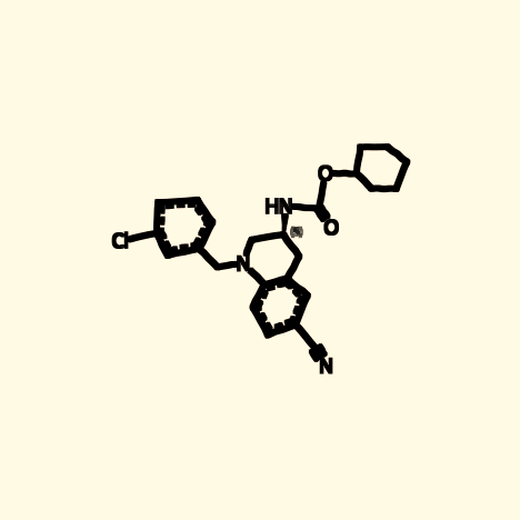 N#Cc1ccc2c(c1)C[C@H](NC(=O)OC1CCCCC1)CN2Cc1cccc(Cl)c1